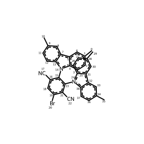 Cc1ccc2c(c1)c1cc(C)ccc1n2-c1c(C#N)cc(Br)c(C#N)c1-n1c2ccc(C)cc2c2cc(C)ccc21